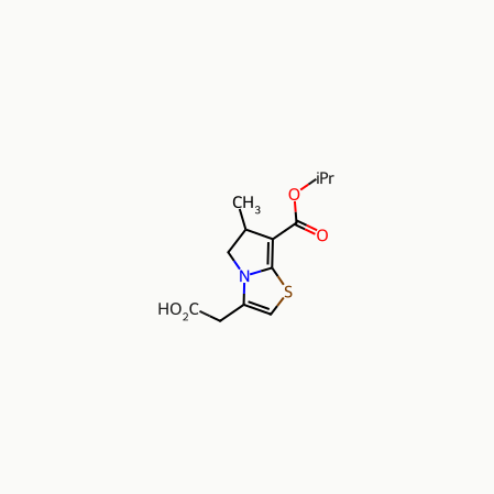 CC(C)OC(=O)C1=C2SC=C(CC(=O)O)N2CC1C